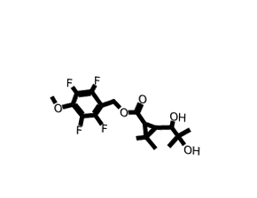 COc1c(F)c(F)c(COC(=O)C2C(C(O)C(C)(C)O)C2(C)C)c(F)c1F